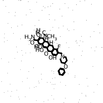 CN(C)[C@@H]1C(O)=C(C(N)=O)C(=O)[C@@]2(O)C(O)=C3C(=O)c4c(O)cc(CN5CCC(Oc6ccccc6)CC5)c(F)c4C[C@H]3C[C@@H]12